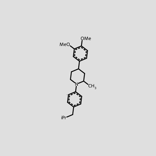 COc1ccc(C2CCN(c3[c]cc(CC(C)C)cc3)C(C)C2)cc1OC